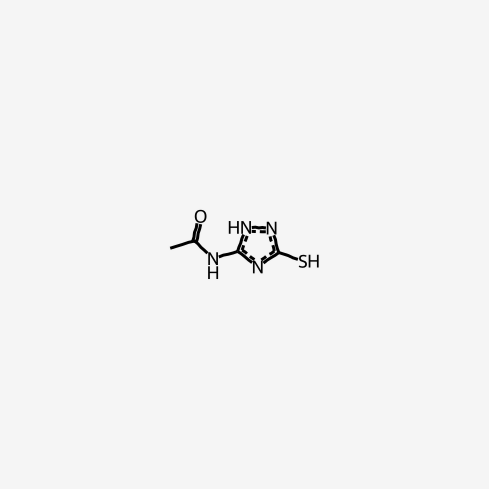 CC(=O)Nc1nc(S)n[nH]1